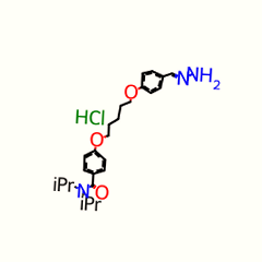 CC(C)N(C(=O)c1ccc(OCCCCCOc2ccc(C=NN)cc2)cc1)C(C)C.Cl